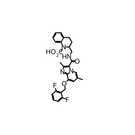 Cc1cc(OCc2c(F)cccc2F)c2nc(C)c(C(=O)NCC3CCc4ccccc4N3C(=O)O)n2c1